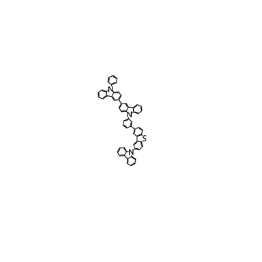 c1ccc(-n2c3ccccc3c3cc(-c4ccc5c(c4)c4ccccc4n5-c4cccc(-c5ccc6sc7ccc(-n8c9ccccc9c9ccccc98)cc7c6c5)c4)ccc32)cc1